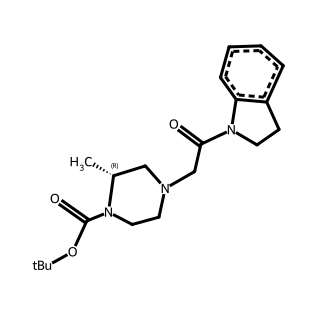 C[C@@H]1CN(CC(=O)N2CCc3ccccc32)CCN1C(=O)OC(C)(C)C